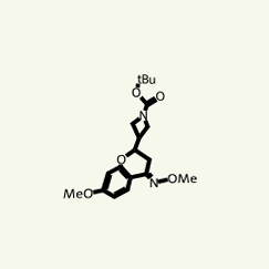 CON=C1CC(C2CN(C(=O)OC(C)(C)C)C2)Oc2cc(OC)ccc21